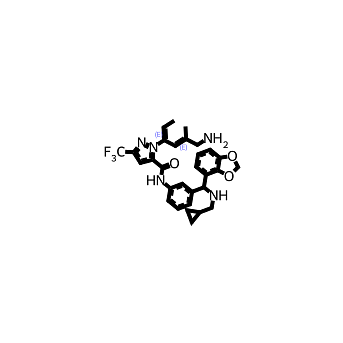 C/C=C(\C=C(/C)CN)n1nc(C(F)(F)F)cc1C(=O)Nc1cccc(C(NCC2CC2)c2cccc3c2OCO3)c1